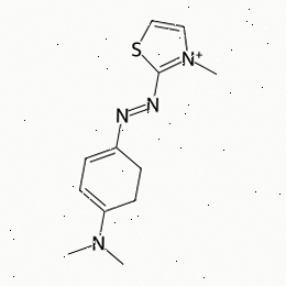 CN(C)C1=CC=C(N=Nc2scc[n+]2C)CC1